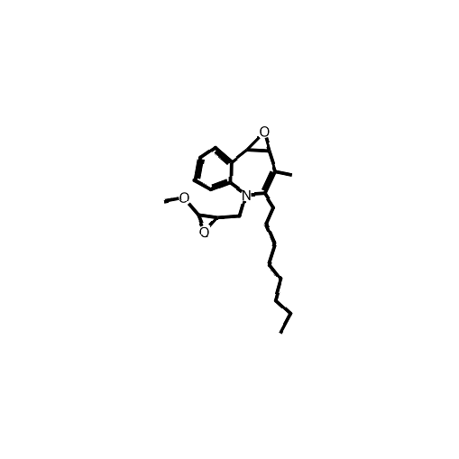 CCCCCCCCC1=C(C)C2OC2c2ccccc2N1CC1OC1OC